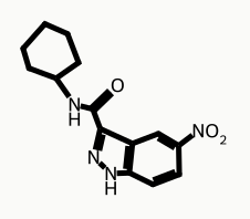 O=C(NC1CCCCC1)c1n[nH]c2ccc([N+](=O)[O-])cc12